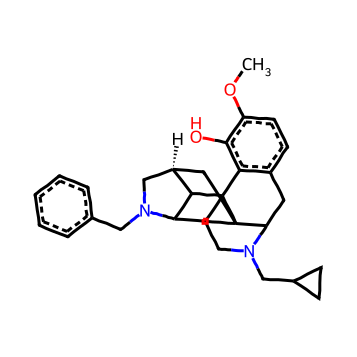 COc1ccc2c(c1O)C13CCN(CC4CC4)C(C2)C12CCC1C3[C@@H](CN1Cc1ccccc1)C2